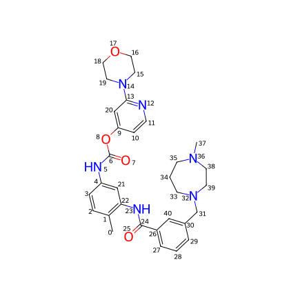 Cc1ccc(NC(=O)Oc2ccnc(N3CCOCC3)c2)cc1NC(=O)c1cccc(CN2CCCN(C)CC2)c1